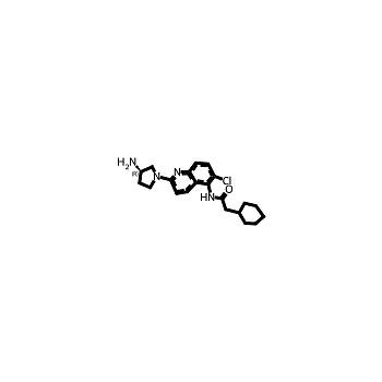 N[C@@H]1CCN(c2ccc3c(NC(=O)CC4CCCCC4)c(Cl)ccc3n2)C1